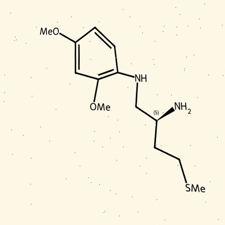 COc1ccc(NC[C@@H](N)CCSC)c(OC)c1